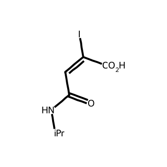 CC(C)NC(=O)/C=C(/I)C(=O)O